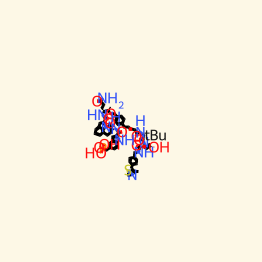 Cc1ncsc1-c1ccc(CNC(=O)[C@@H]2C[C@@H](O)CN2C(=O)[C@@H](NC(=O)CCCCc2ccc(CO[C@H](C)[C@H](CCC(N)=O)NC(=O)[C@@H]3Cc4cccc5c4N3C(=O)[C@@H](NC(=O)c3cc4cc(CP(=O)(O)O)ccc4[nH]3)CC5)cc2)C(C)(C)C)cc1